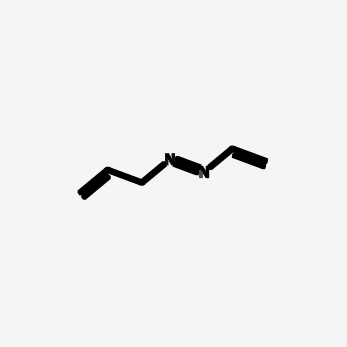 C=CCN=NC=C